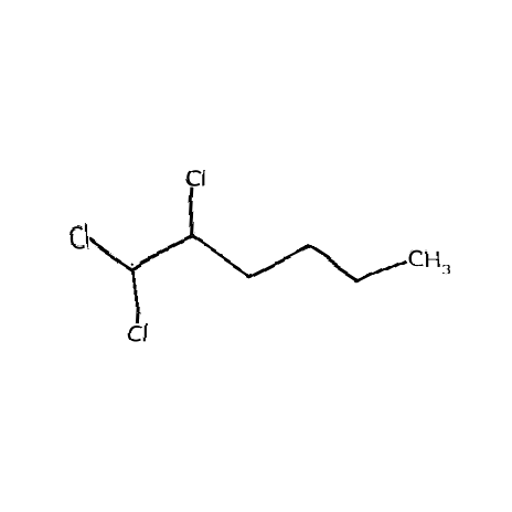 CCCCC(Cl)[C](Cl)Cl